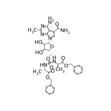 Cc1nc(N)c2c(C(N)=O)cn([C@@H]3O[C@H](COP(=O)(N[C@@H](C)C(=O)OCc4ccccc4)N[C@H](C)C(=O)OCc4ccccc4)[C@@H](O)[C@H]3O)c2n1